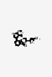 Cc1cc(C2CN(c3ncnc4[nH]cc(-c5cccc(C#N)c5)c34)CCO2)no1